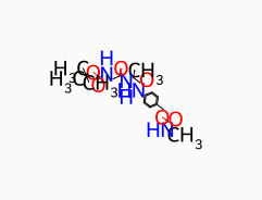 CNC(=O)OCc1ccc(NC(=O)[C@H](C)NC(=O)CNC(=O)OC(C)(C)C)cc1